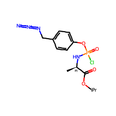 CC(C)OC(=O)[C@@H](C)NP(=O)(Cl)Oc1ccc(CN=[N+]=[N-])cc1